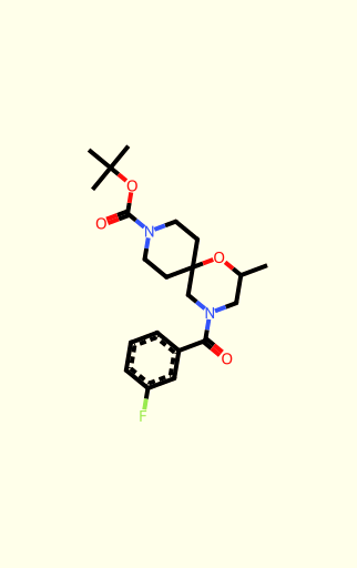 CC1CN(C(=O)c2cccc(F)c2)CC2(CCN(C(=O)OC(C)(C)C)CC2)O1